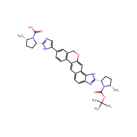 C[C@H]1CC[C@@H](c2ncc(-c3ccc4c(c3)COc3cc5c(ccc6nc([C@@H]7CC[C@H](C)N7C(=O)OC(C)(C)C)[nH]c65)cc3-4)[nH]2)N1C(=O)O